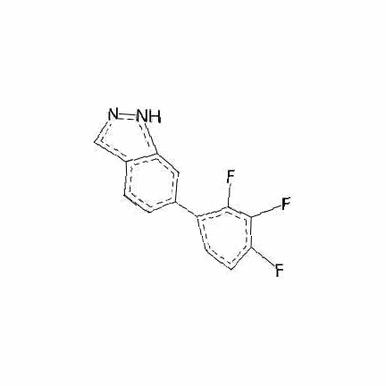 Fc1ccc(-c2ccc3cn[nH]c3c2)c(F)c1F